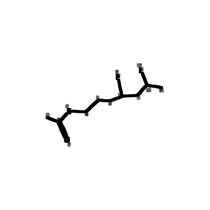 CC(=O)SCCCC(F)CC(C)F